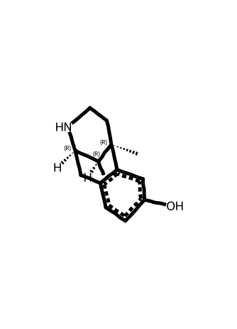 C[C@H]1[C@H]2Cc3ccc(O)cc3[C@]1(C)CCN2